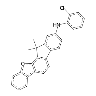 CC1(C)c2cc(Nc3ccccc3Cl)ccc2-c2ccc3c(oc4ccccc43)c21